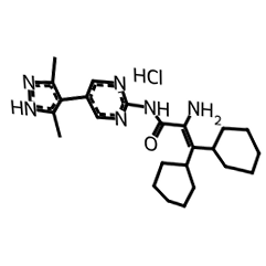 Cc1n[nH]c(C)c1-c1cnc(NC(=O)C(N)=C(C2CCCCC2)C2CCCCC2)nc1.Cl